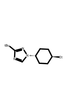 CC[C@H]1CC[C@H](n2cnc(C(C)(C)C)n2)CC1